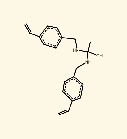 C=Cc1ccc(CNC(C)(O)NCc2ccc(C=C)cc2)cc1